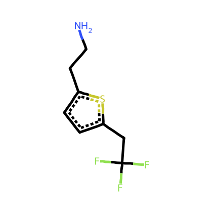 NCCc1ccc(CC(F)(F)F)s1